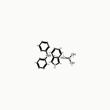 OB(O)O.c1ccc(Nc2ccccc2)cc1.c1ccc2cscc2c1